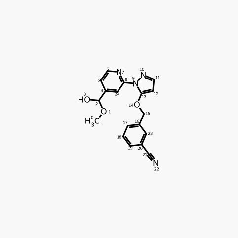 COC(O)c1ccnc(-n2nccc2OCc2cccc(C#N)c2)c1